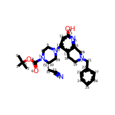 CC(C)(C)OC(=O)N1CCN(c2cc(O)nc3c2CCN(Cc2ccccc2)C3)C[C@@H]1CC#N